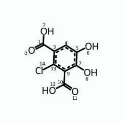 O=C(O)c1cc(O)c(O)c(C(=O)O)c1Cl